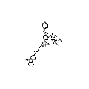 CN(C)S(=O)(=O)Nc1cc([C@@H](O)CNCCOc2ccc3c4c([nH]c3c2)CCCC4)ccc1OCc1ccccc1